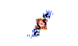 Nc1ncnc2c1ncn2C1OC2COP(=O)(S)OC3C(COP(=O)(S)OC1C2O)O[C@@H](n1cnc2c(N)ncnc21)C3F